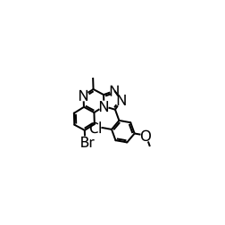 COc1ccc(Cl)c(-c2nnc3c(C)nc4ccc(Br)cc4n23)c1